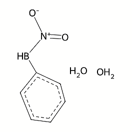 O.O.O=[N+]([O-])Bc1ccccc1